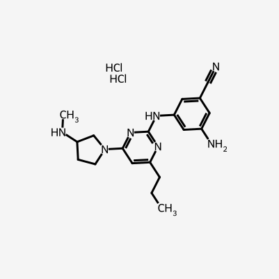 CCCc1cc(N2CCC(NC)C2)nc(Nc2cc(N)cc(C#N)c2)n1.Cl.Cl